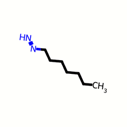 CCCCCCCN=N